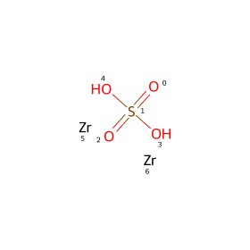 O=S(=O)(O)O.[Zr].[Zr]